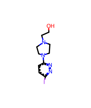 OCCN1CCN(c2ccc(I)nn2)CC1